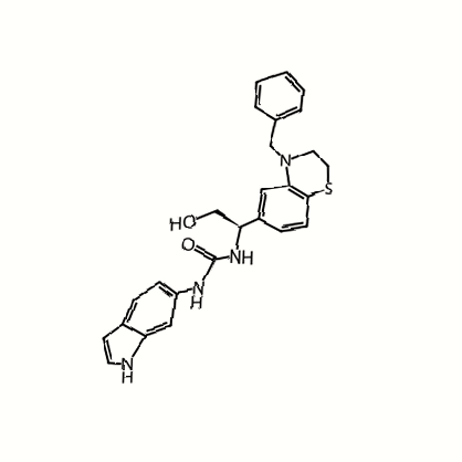 O=C(Nc1ccc2cc[nH]c2c1)N[C@@H](CO)c1ccc2c(c1)N(Cc1ccccc1)CCS2